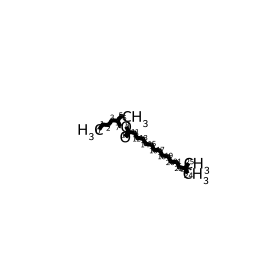 CCCCC(CC)COC(=O)CCCCCCCCCCCCC(C)C